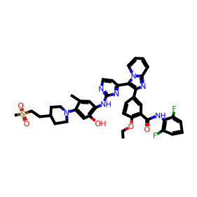 CCOc1ccc(-c2nc3ccccn3c2-c2ccnc(Nc3cc(C)c(N4CCC(CCS(C)(=O)=O)CC4)cc3O)n2)cc1C(=O)Nc1c(F)cccc1F